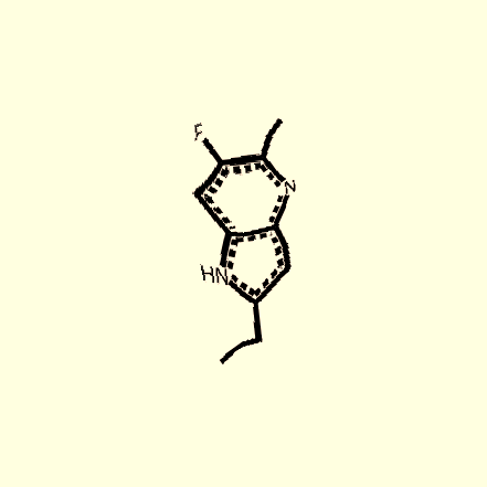 CCc1cc2nc(C)c(F)cc2[nH]1